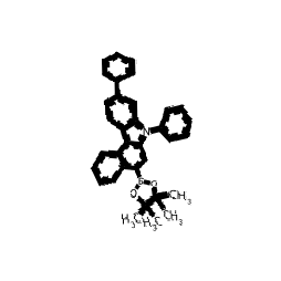 CC1(C)OB(c2cc3c(c4ccccc24)c2ccc(-c4ccccc4)cc2n3-c2ccccc2)OC1(C)C